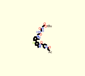 CC(=O)CCC(=O)N1CCC(C(=O)n2ncc3cc(F)c(-c4cccc5c4cnn5CC(=O)NCC(=O)NCC(=O)OC(C)(C)C)cc32)CC1